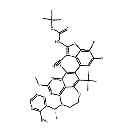 CSc1nc2c3c(c(C(F)(F)F)c(-c4cc(F)c(F)c5sc(NC(=O)OC(C)(C)C)c(C#N)c45)c(F)c3n1)OCCN2[C@H](C)c1cccnc1N